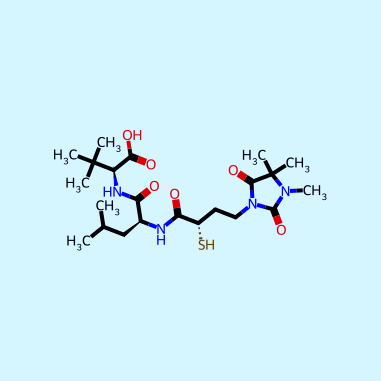 CC(C)C[C@H](NC(=O)[C@@H](S)CCN1C(=O)N(C)C(C)(C)C1=O)C(=O)N[C@H](C(=O)O)C(C)(C)C